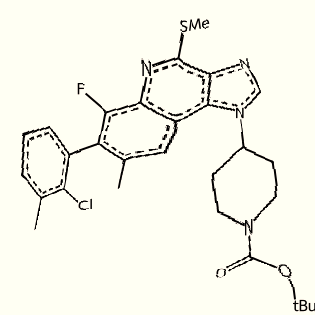 CSc1nc2c(F)c(-c3cccc(C)c3Cl)c(C)cc2c2c1ncn2C1CCN(C(=O)OC(C)(C)C)CC1